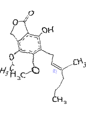 CCC/C(C)=C/Cc1c(O)c2c(c(OC)c1OC)COC2=O